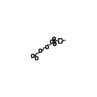 COC(=O)CCOCCOCCOS(=O)(=O)c1ccc(C)cc1